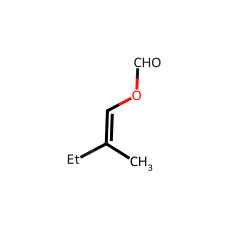 CCC(C)=COC=O